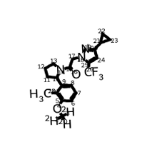 [2H]C([2H])([2H])Oc1cccc(C2CCCN2C(=O)Cn2nc(C3CC3)cc2C(F)(F)F)c1C